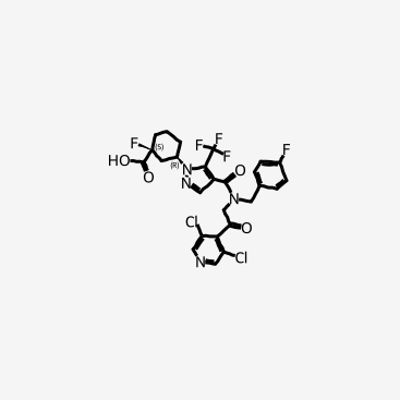 O=C(CN(Cc1ccc(F)cc1)C(=O)c1cnn([C@@H]2CCC[C@@](F)(C(=O)O)C2)c1C(F)(F)F)c1c(Cl)cncc1Cl